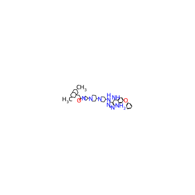 CC1CC2CC(C)CC(CC(=O)N3CC(N4CCC(N5CCC(Nc6ncnc(N)c6C(=N)c6ccc(Oc7ccccc7)cc6)CC5)CC4)C3)(C1)C2